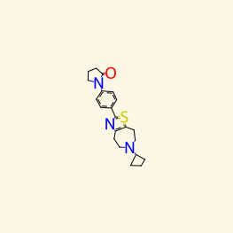 O=C1CCCN1c1ccc(-c2nc3c(s2)CCN(C2CCC2)CC3)cc1